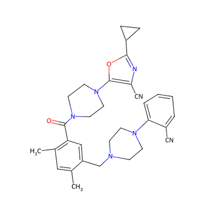 Cc1cc(C)c(C(=O)N2CCN(c3oc(C4CC4)nc3C#N)CC2)cc1CN1CCN(c2ccccc2C#N)CC1